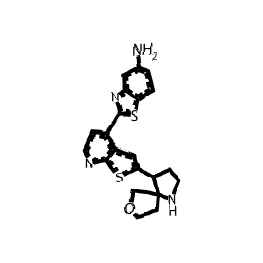 Nc1ccc2sc(-c3ccnc4sc(C5CCNC56CCOC6)cc34)nc2c1